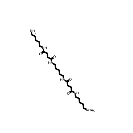 CC(=O)NCCCCCNC(=O)CCC(=O)NCCCCCNC(=O)CCC(=O)NCCCCCN